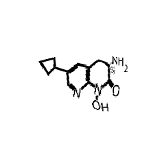 N[C@H]1Cc2cc(C3CCC3)cnc2N(O)C1=O